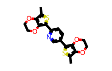 Cc1sc(-c2ccc(-c3sc(C)c4c3OCCO4)nc2)c2c1OCCO2